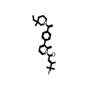 C=C(c1ccc(C2=CC=CN(C(=O)/C=C(\C)C(C)(C)F)C2=C)cc1)N1CCCC(C)(CC)C1